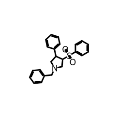 O=S(=O)(c1ccccc1)C1CN(Cc2ccccc2)CC1c1ccccc1